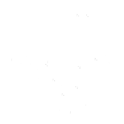 CN(c1cc(-c2cnn(C)c2)ccc1Nc1cc(NC(=O)C2CC2(F)F)nc2c1nc(C(F)F)n2C1CCCCO1)S(C)(=O)=O